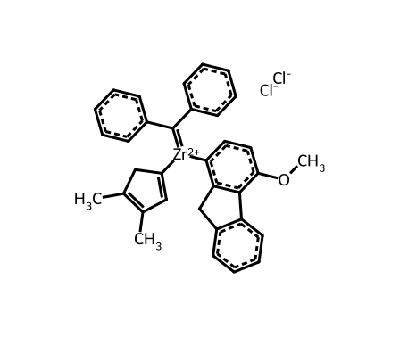 COc1cc[c]([Zr+2]([C]2=CC(C)=C(C)C2)=[C](c2ccccc2)c2ccccc2)c2c1-c1ccccc1C2.[Cl-].[Cl-]